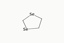 C1C[Se]C[Se]1